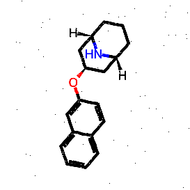 c1ccc2cc(O[C@@H]3C[C@H]4CCC[C@@H](C3)N4)ccc2c1